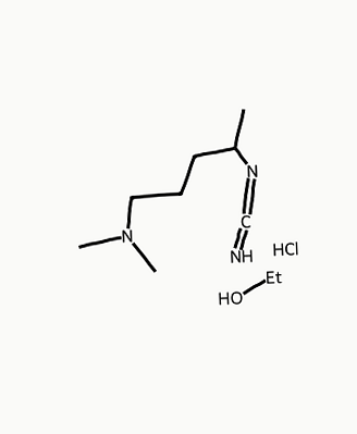 CC(CCCN(C)C)N=C=N.CCO.Cl